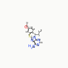 CCCCn1c(Sc2cccc(OC)c2)nc2c(N)ncnc21